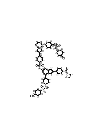 O=C(c1ccc(-c2cc3c(-c4ccc(NS(=O)(=O)c5ccc(Cl)cc5)cc4)nc(CS(=O)(=O)c4ccc(-c5cc6c(-c7ccc(NS(=O)(=O)c8ccc(Cl)cc8)cc7)ncnn6c5)cc4)nn3c2)cc1)N1CCC1